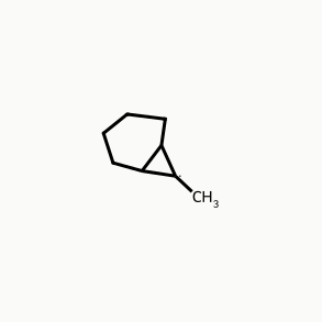 C[C]1C2CCCCC12